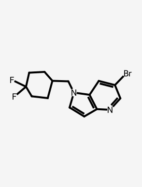 FC1(F)CCC(Cn2ccc3ncc(Br)cc32)CC1